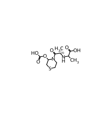 CC(N[C@@H](C)C(=O)N1CCSCC1OC(=O)O)C(=O)O